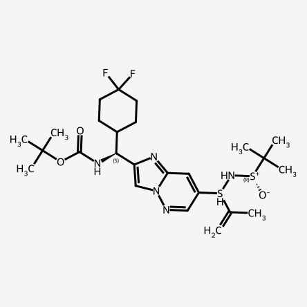 C=C(C)[SH](N[S@@+]([O-])C(C)(C)C)c1cnn2cc([C@@H](NC(=O)OC(C)(C)C)C3CCC(F)(F)CC3)nc2c1